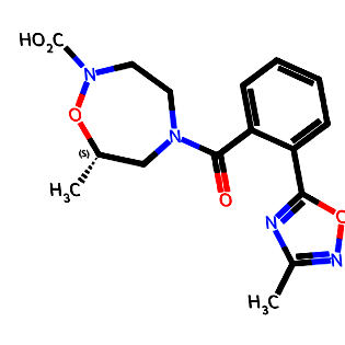 Cc1noc(-c2ccccc2C(=O)N2CCN(C(=O)O)O[C@@H](C)C2)n1